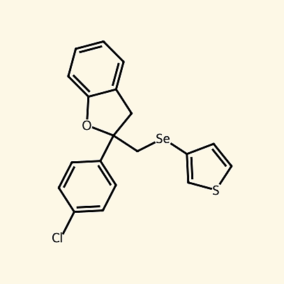 Clc1ccc(C2(C[Se]c3ccsc3)Cc3ccccc3O2)cc1